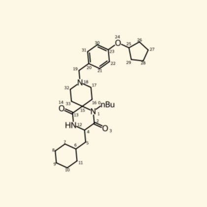 CCCCN1C(=O)C(CC2CCCCC2)NC(=O)C12CCN(Cc1ccc(OC3CCCC3)cc1)CC2